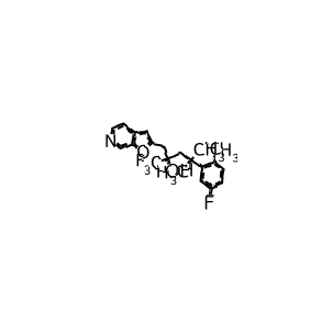 Cc1ccc(F)cc1C(C)(C)CC(O)(Cc1cc2ccncc2o1)C(F)(F)F